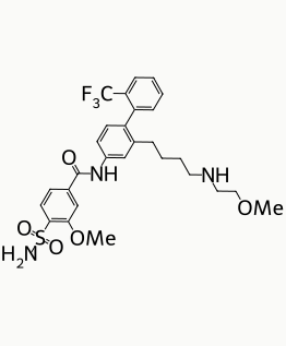 COCCNCCCCc1cc(NC(=O)c2ccc(S(N)(=O)=O)c(OC)c2)ccc1-c1ccccc1C(F)(F)F